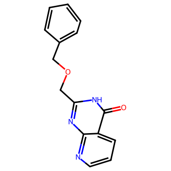 O=c1[nH]c(COCc2ccccc2)nc2ncccc12